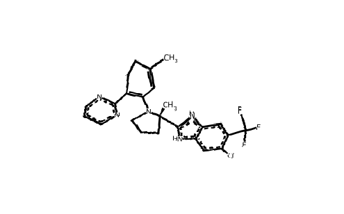 CC1=CC(N2CCC[C@@]2(C)c2nc3cc(C(F)(F)F)c(Cl)cc3[nH]2)=C(c2ncccn2)[CH]C1